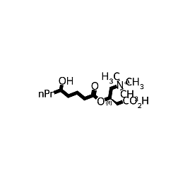 CCCC(O)CCCC(=O)O[C@H](CC(=O)O)C[N+](C)(C)C